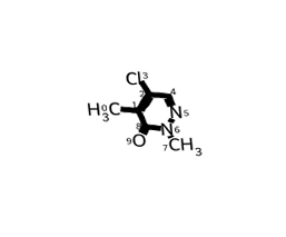 Cc1c(Cl)cnn(C)c1=O